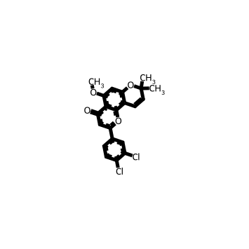 COc1cc2c(c3oc(-c4ccc(Cl)c(Cl)c4)cc(=O)c13)C=CC(C)(C)O2